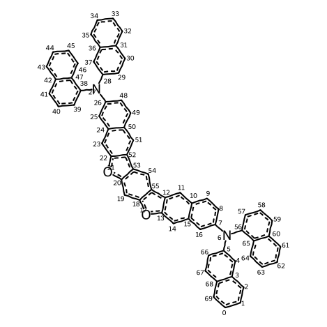 c1ccc2cc(N(c3ccc4cc5c(cc4c3)oc3cc4oc6cc7cc(N(c8ccc9ccccc9c8)c8cccc9ccccc89)ccc7cc6c4cc35)c3cccc4ccccc34)ccc2c1